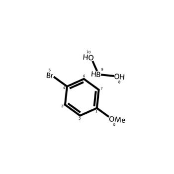 COc1ccc(Br)cc1.OBO